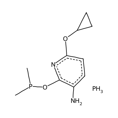 CP(C)Oc1nc(OC2CC2)ccc1N.P